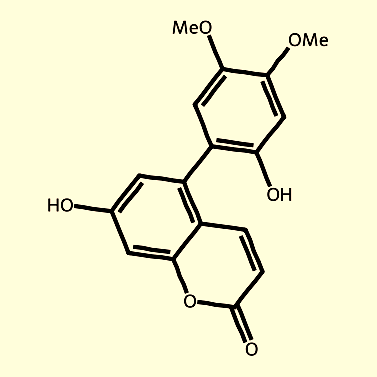 COc1cc(O)c(-c2cc(O)cc3oc(=O)ccc23)cc1OC